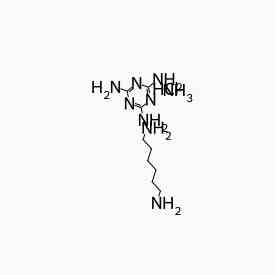 Cl.N.NCCCCCCN.Nc1nc(N)nc(N)n1